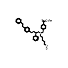 CCOCCCCCN(Cc1ccc(C(=O)OC)cc1)CC(CCc1ccc(CCc2ccccc2)cc1)c1ccccc1